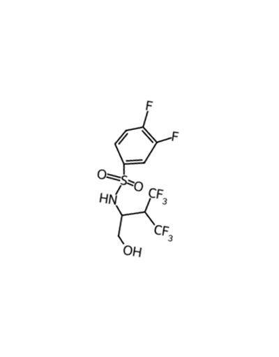 O=S(=O)(NC(CO)C(C(F)(F)F)C(F)(F)F)c1ccc(F)c(F)c1